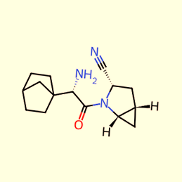 N#C[C@@H]1C[C@@H]2C[C@@H]2N1C(=O)[C@@H](N)C12CCC(CC1)C2